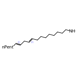 CCCCC/C=C/C/C=C/CCCCCCCC[NH]